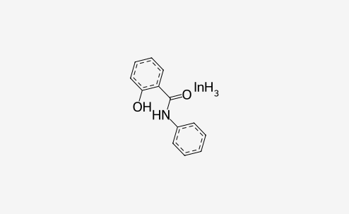 O=C(Nc1ccccc1)c1ccccc1O.[InH3]